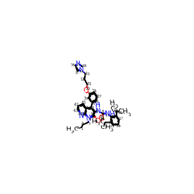 CCCCn1c(=O)c(NC(=O)Nc2c(C(C)C)cccc2C(C)C)c(-c2cccc(OCCCn3ccnc3)c2)c2cccnc21